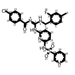 Cc1ccc(CN/C(=N/C(=O)c2ccc(Cl)cc2)Nc2cccc(NS(=O)(=O)c3cccnc3)n2)c(F)c1